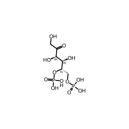 O=C(CO)[C@H](O)[C@@H](O)[C@H](COP(=O)(O)O)OP(=O)(O)O